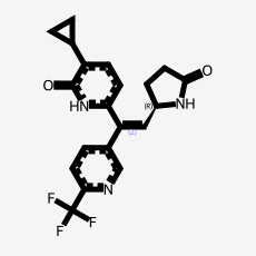 O=C1CC[C@H](/C=C(/c2ccc(C(F)(F)F)nc2)c2ccc(C3CC3)c(=O)[nH]2)N1